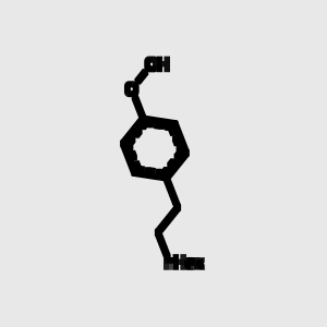 CCCCCCCCc1ccc(OO)cc1